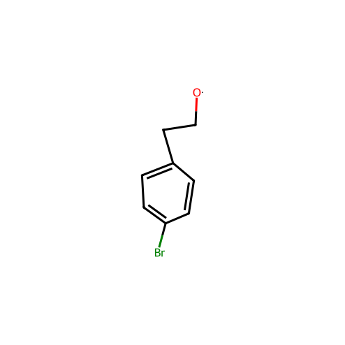 [O]CCc1ccc(Br)cc1